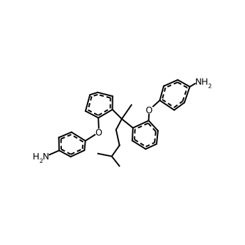 CC(C)CCC(C)(c1ccccc1Oc1ccc(N)cc1)c1ccccc1Oc1ccc(N)cc1